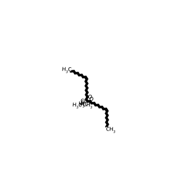 CCCCCCCC/C=C\CCCCCCCC(=O)C[C@H](C)C(=O)CCCCCCC/C=C\CCCCCCCC.CN(C)C